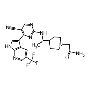 C[C@@H](Nc1ncc(C#N)c(-c2c[nH]c3ncc(C(F)(F)F)cc23)n1)C1CCN(CC(N)=O)CC1